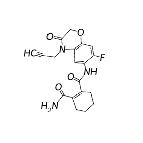 C#CCN1C(=O)COc2cc(F)c(NC(=O)C3=C(C(N)=O)CCCC3)cc21